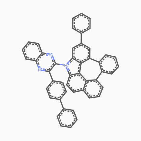 c1ccc(-c2ccc(-c3nc4ccccc4nc3-n3c4cc(-c5ccccc5)cc5c4c4c6c(cccc6ccc43)-c3ccccc3-5)cc2)cc1